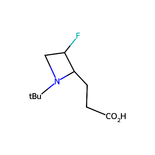 CC(C)(C)N1CC(F)C1CCC(=O)O